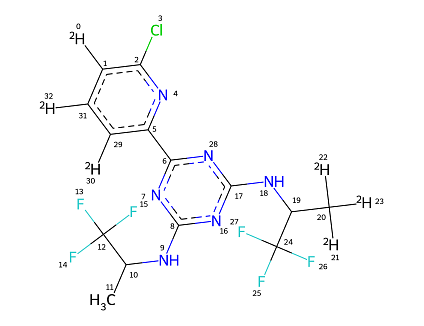 [2H]c1c(Cl)nc(-c2nc(NC(C)C(F)(F)F)nc(NC(C([2H])([2H])[2H])C(F)(F)F)n2)c([2H])c1[2H]